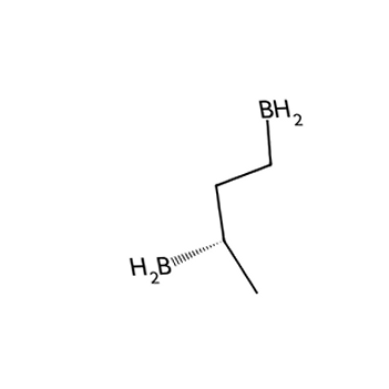 BCC[C@@H](B)C